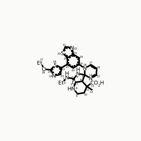 CCNC(=O)NC1(C2CNCCC2(C)C(=O)O)N=CC=CN1c1cc(-c2cnc(OCC)s2)c2scnc2c1